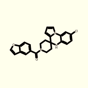 O=C(c1ccc2occc2c1)N1CCC2(CC1)Nc1ccc(Cl)cc1-n1cccc12